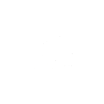 Brc1ccc2c(c1)C(=P(c1ccccc1)(c1ccccc1)c1ccccc1)c1ccccc1-2